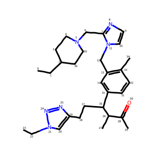 CCC1CCN(Cc2nccn2Cc2cc(C(CCc3cn(CC)nn3)C(C)C(C)=O)ccc2C)CC1